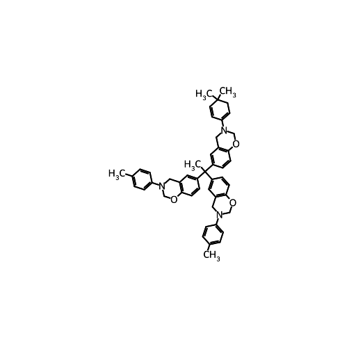 Cc1ccc(N2COc3ccc(C(C)(c4ccc5c(c4)CN(C4=CCC(C)(C)C=C4)CO5)c4ccc5c(c4)CN(c4ccc(C)cc4)CO5)cc3C2)cc1